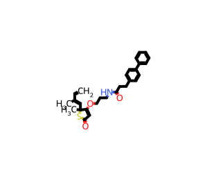 C=C/C(C)=C/C1(C)SC(=O)C=C1OCCCNC(=O)CCc1ccc(-c2ccccc2)cc1